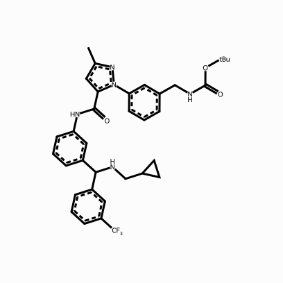 Cc1cc(C(=O)Nc2cccc(C(NCC3CC3)c3cccc(C(F)(F)F)c3)c2)n(-c2cccc(CNC(=O)OC(C)(C)C)c2)n1